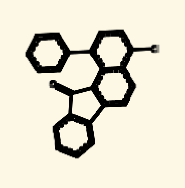 O=C1c2ccccc2-c2ccc3c(Cl)ccc(-c4ccccc4)c3c21